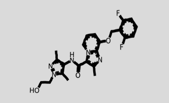 Cc1nn(CCO)c(C)c1NC(=O)c1c(C)nc2c(OCc3c(F)cccc3F)cccn12